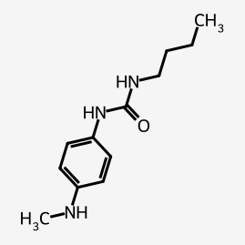 CCCCNC(=O)Nc1ccc(NC)cc1